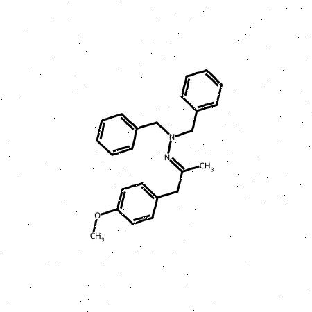 COc1ccc(CC(C)=NN(Cc2ccccc2)Cc2ccccc2)cc1